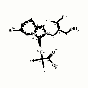 NCC(Cn1nc2ccc(Br)cn2c1=O)=C(F)F.O=C(O)C(F)(F)F